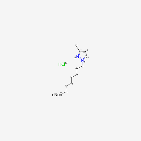 CCCCCCCCCCCCCCCCn1ccc(C)n1.Cl